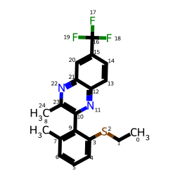 CCSc1cccc(C)c1-c1nc2ccc(C(F)(F)F)cc2nc1C